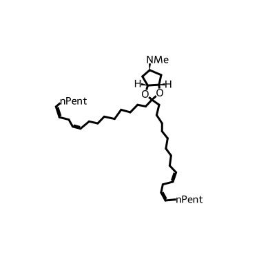 CCCCC/C=C\C/C=C\CCCCCCCCC1(CCCCCCCC/C=C\C/C=C\CCCCC)O[C@H]2C[C@H](NC)C[C@H]2O1